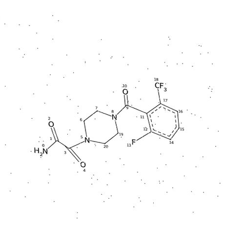 NC(=O)C(=O)N1CCN(C(=O)c2c(F)cccc2C(F)(F)F)CC1